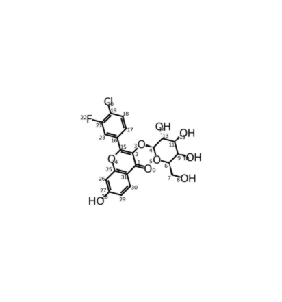 O=c1c(O[C@@H]2O[C@H](CO)[C@H](O)[C@H](O)[C@H]2O)c(-c2ccc(Cl)c(F)c2)oc2cc(O)ccc12